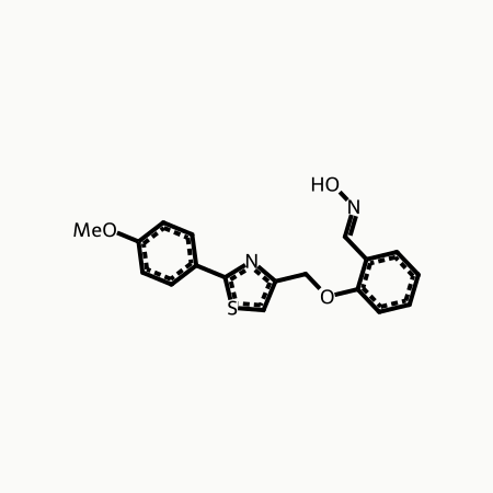 COc1ccc(-c2nc(COc3ccccc3C=NO)cs2)cc1